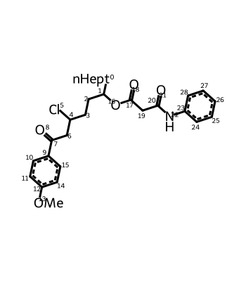 CCCCCCCC(CCC(Cl)CC(=O)c1ccc(OC)cc1)OC(=O)CC(=O)Nc1ccccc1